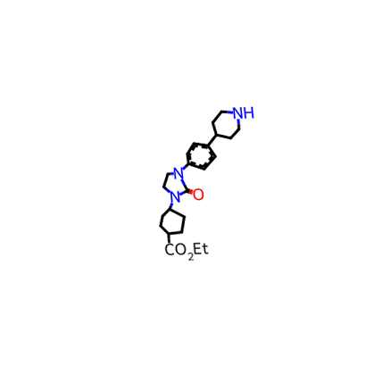 CCOC(=O)C1CCC(N2CCN(c3ccc(C4CCNCC4)cc3)C2=O)CC1